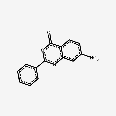 O=c1oc(-c2ccccc2)nc2cc([N+](=O)[O-])ccc12